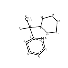 CC(O)(c1ccccn1)C1CCCCC1